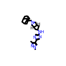 Cc1nn(C)cc1-c1cnc(NC2C[C@@H]3CN(CC45CC6CC(CC(C6)C4)C5)C[C@@H]3C2)cn1